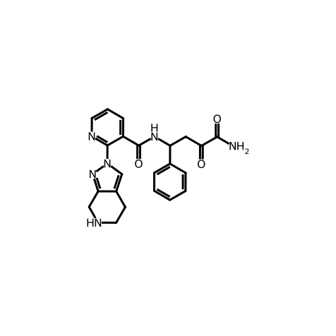 NC(=O)C(=O)CC(NC(=O)c1cccnc1-n1cc2c(n1)CNCC2)c1ccccc1